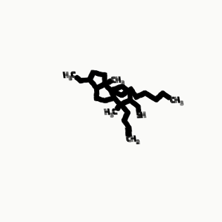 C=CCCC1(C)C(CS)CCC2(CCCCCCC)C1CCC1C(CC)CCC12C